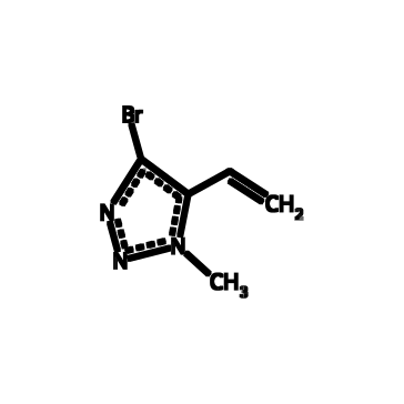 C=Cc1c(Br)nnn1C